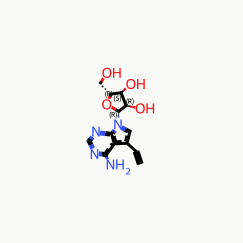 C#Cc1cn([C@@H]2O[C@H](CO)[C@@H](O)[C@H]2O)c2ncnc(N)c12